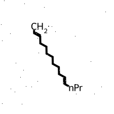 [CH2]C=CCCCCCCCC=CCCC